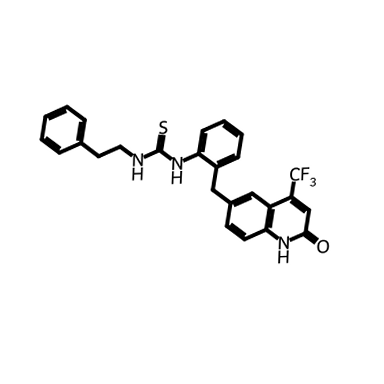 O=c1cc(C(F)(F)F)c2cc(Cc3ccccc3NC(=S)NCCc3ccccc3)ccc2[nH]1